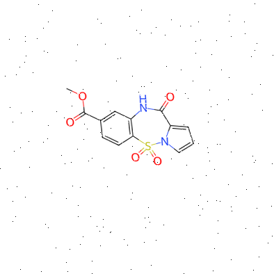 COC(=O)c1ccc2c(c1)NC(=O)c1cccn1S2(=O)=O